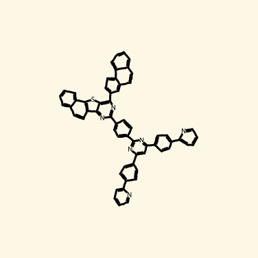 c1ccc(-c2ccc(-c3cc(-c4ccc(-c5ccccn5)cc4)nc(-c4ccc(-c5nc(-c6ccc7c(ccc8ccccc87)c6)c6sc7c8ccccc8ccc7c6n5)cc4)n3)cc2)nc1